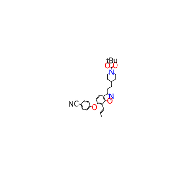 CC=Cc1c(Oc2ccc(C#N)cc2)ccc2c(CCC3CCN(C(=O)OC(C)(C)C)CC3)noc12